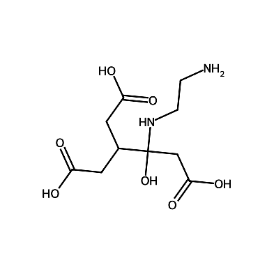 NCCNC(O)(CC(=O)O)C(CC(=O)O)CC(=O)O